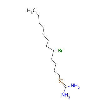 CCCCCCCCCCCC[S+]=C(N)N.[Br-]